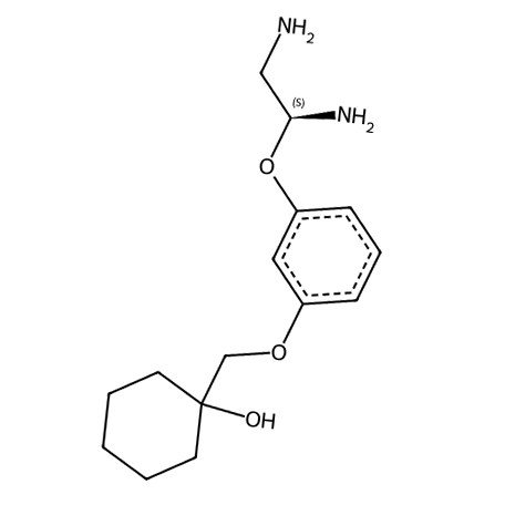 NC[C@@H](N)Oc1cccc(OCC2(O)CCCCC2)c1